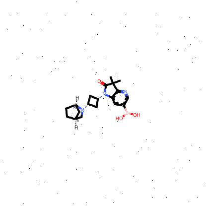 CC1(C)C(=O)N([C@H]2C[C@@H](N3C[C@H]4CC[C@@H]3C4)C2)c2cc(B(O)O)cnc21